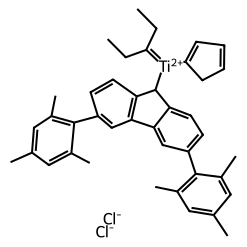 CC[C](CC)=[Ti+2]([C]1=CC=CC1)[CH]1c2ccc(-c3c(C)cc(C)cc3C)cc2-c2cc(-c3c(C)cc(C)cc3C)ccc21.[Cl-].[Cl-]